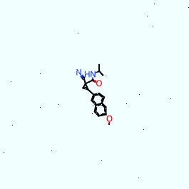 COc1ccc2cc(C3=CC3(C#N)C(=O)NC(C)C)ccc2c1